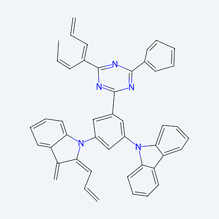 C=C/C=C(\C=C/C)c1nc(-c2ccccc2)nc(-c2cc(-n3/c(=C/C=C)c(=C)c4ccccc43)cc(-n3c4ccccc4c4ccccc43)c2)n1